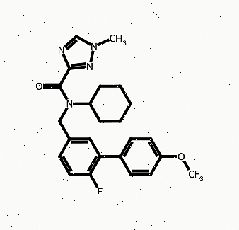 Cn1cnc(C(=O)N(Cc2ccc(F)c(-c3ccc(OC(F)(F)F)cc3)c2)C2CCCCC2)n1